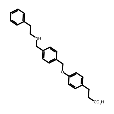 O=C(O)CCc1ccc(OCc2ccc(CNCCc3ccccc3)cc2)cc1